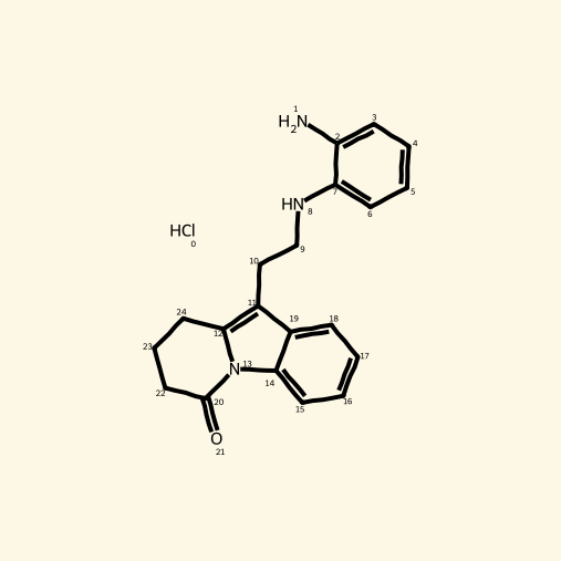 Cl.Nc1ccccc1NCCc1c2n(c3ccccc13)C(=O)CCC2